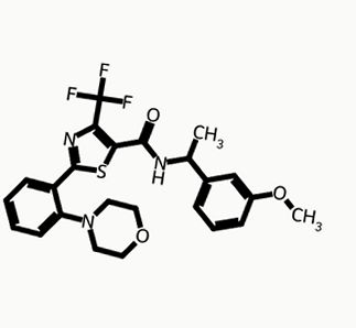 COc1cccc(C(C)NC(=O)c2sc(-c3ccccc3N3CCOCC3)nc2C(F)(F)F)c1